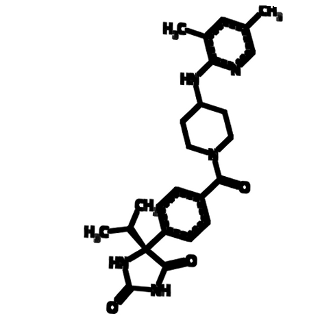 Cc1cnc(NC2CCN(C(=O)c3ccc([C@@]4(C(C)C)NC(=O)NC4=O)cc3)CC2)c(C)c1